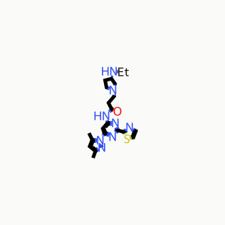 CCN[C@@H]1CCN(CCC(=O)Nc2cc(-n3nc(C)cc3C)nc(-c3nccs3)n2)C1